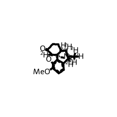 [2H]C([2H])([2H])N1CC[C@]23c4c5ccc(OC)c4OC2([2H])C(=O)CC[C@H]3[C@@]1([2H])C5([2H])[2H]